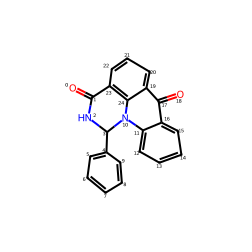 O=C1NC(c2ccccc2)n2c3ccccc3c(=O)c3cccc1c32